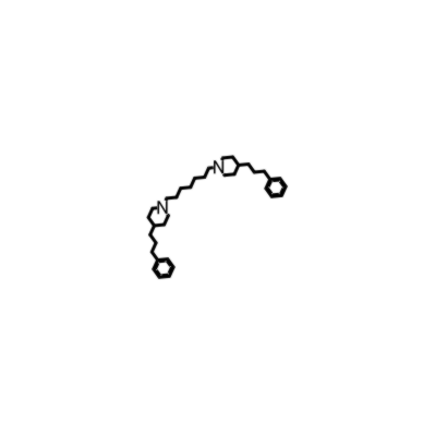 c1ccc(CCCC2CCN(CCCCCCCN3CCC(CCCc4ccccc4)CC3)CC2)cc1